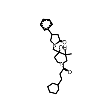 CC1(C)CN(C(=O)CCC2CCCCC2)CCC1(O)CN1CC(c2ccccc2)CC1=O